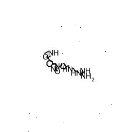 N=C(N)NCCCNCc1ccc(-n2cc3c(nc2=O)CCCC(C2CNCCO2)=C3)cc1